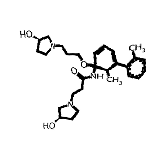 Cc1ccccc1C1=CC=CC(NC(=O)CCN2CC[C@@H](O)C2)(OCCCN2CC[C@@H](O)C2)C1C